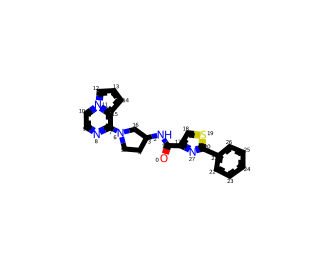 O=C(NC1CCN(c2nccn3cccc23)C1)c1csc(-c2ccccc2)n1